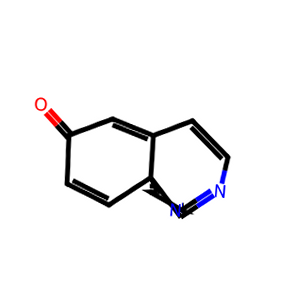 O=C1C=CC23C=CC=NC2=NC=CC3=C1